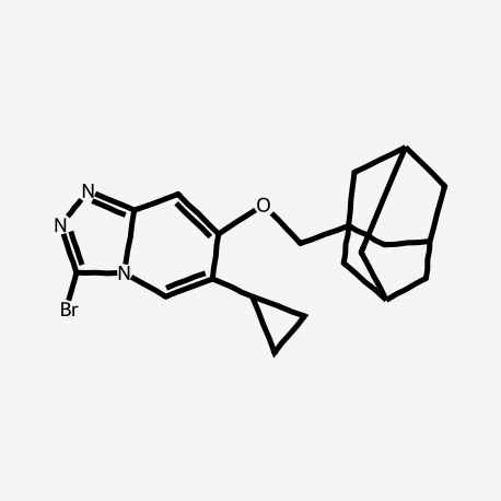 Brc1nnc2cc(OCC34CC5CC(CC(C5)C3)C4)c(C3CC3)cn12